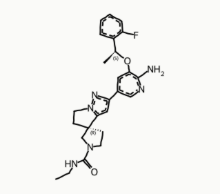 CCNC(=O)N1CC[C@@]2(CCn3nc(-c4cnc(N)c(O[C@@H](C)c5ccccc5F)c4)cc32)C1